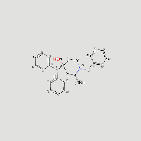 CC(C)(C)C1CC(O)(C(c2ccccc2)c2ccccc2)CCN1Cc1ccccc1